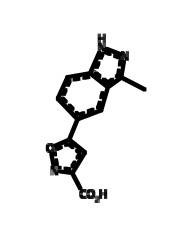 Cc1n[nH]c2ccc(-c3cc(C(=O)O)no3)cc12